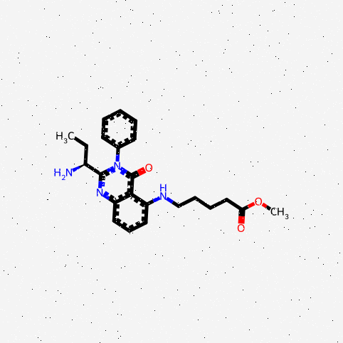 CC[C@H](N)c1nc2cccc(NCCCCC(=O)OC)c2c(=O)n1-c1ccccc1